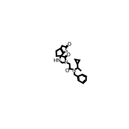 CC(C1CC1)N(Cc1ccccc1)C(=O)CN1CNC2(CCC3=C2SC(=O)C3)C1=O